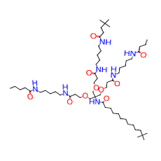 CCCCC(=O)NCCCCCNC(=O)CCOCC(COCCC(=O)NCCCCCNC(=O)CCC)(COCCC(=O)NCCCCCNC(=O)CCC(C)(C)C)NC(=O)CCCCCCCCCCC(C)(C)C